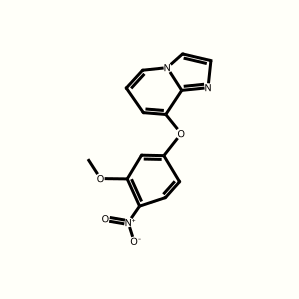 COc1cc(Oc2cccn3ccnc23)ccc1[N+](=O)[O-]